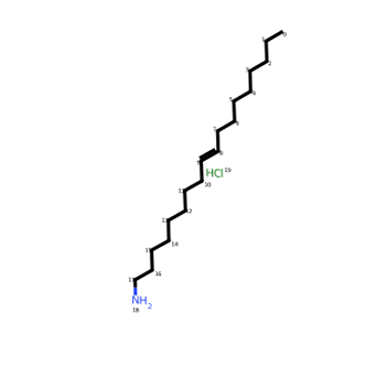 CCCCCCCC/C=C/CCCCCCCCN.Cl